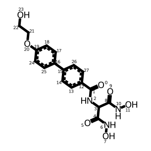 O=C(NC(C(=O)NO)C(=O)NO)c1ccc(-c2ccc(OCCO)cc2)cc1